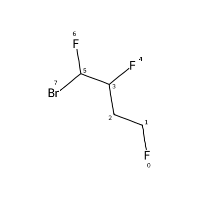 FCCC(F)C(F)Br